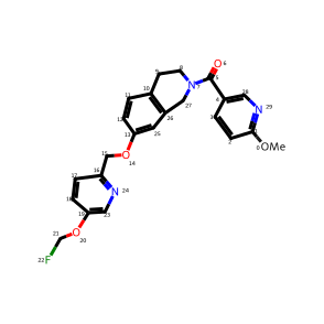 COc1ccc(C(=O)N2CCc3ccc(OCc4ccc(OCF)cn4)cc3C2)cn1